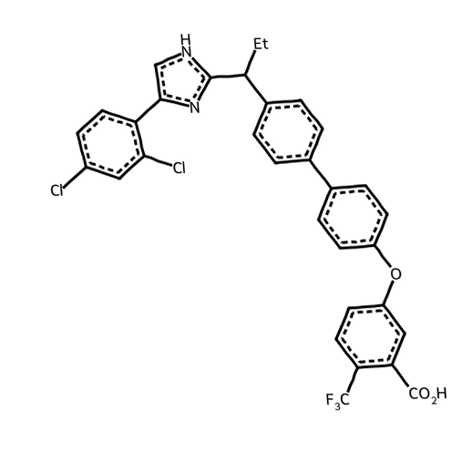 CCC(c1ccc(-c2ccc(Oc3ccc(C(F)(F)F)c(C(=O)O)c3)cc2)cc1)c1nc(-c2ccc(Cl)cc2Cl)c[nH]1